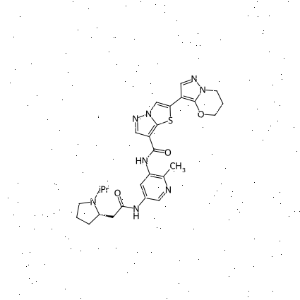 Cc1ncc(NC(=O)C[C@H]2CCCN2C(C)C)cc1NC(=O)c1cnn2cc(-c3cnn4c3OCCC4)sc12